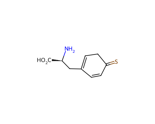 N[C@@H](CC1=CCC(=S)C=C1)C(=O)O